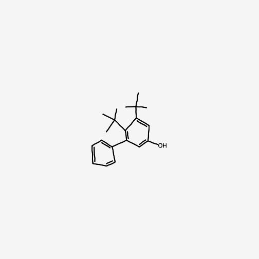 CC(C)(C)c1cc(O)cc(-c2ccccc2)c1C(C)(C)C